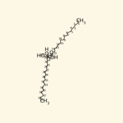 CCCCCCCCCCCCCCCCOC(O)C(O)(CO)OCCCCCCCCCCCCCCCC